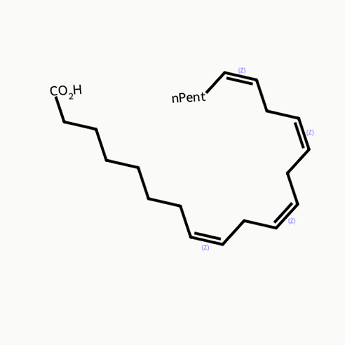 CCCCC/C=C\C/C=C\C/C=C\C/C=C\CCCCCCC(=O)O